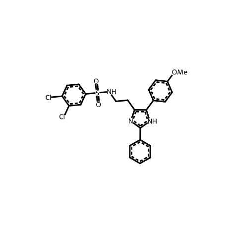 COc1ccc(-c2[nH]c(-c3ccccc3)nc2CCNS(=O)(=O)c2ccc(Cl)c(Cl)c2)cc1